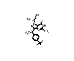 Cc1nc2c([C@H](C)c3ccc(C(F)(F)F)cc3)nn([C@H](C)CO)c2c(=O)[nH]1